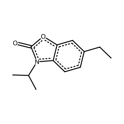 CCc1ccc2c(c1)oc(=O)n2C(C)C